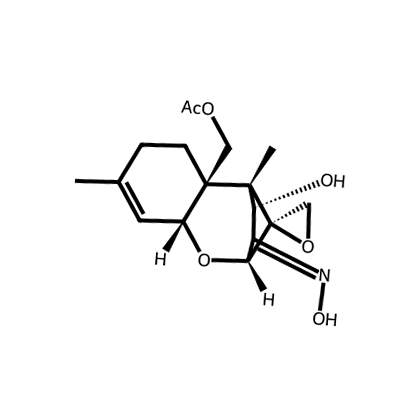 CC(=O)OC[C@]12CCC(C)=C[C@H]1O[C@@H]1C(=NO)[C@@H](O)[C@@]2(C)[C@]12CO2